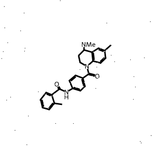 CNC1CCN(C(=O)c2ccc(NC(=O)c3ccccc3C)cc2)c2ccc(C)cc21